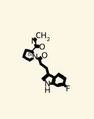 C=NC(=O)[C@@H]1CCCN1C(=O)CCc1c[nH]c2cc(F)ccc12